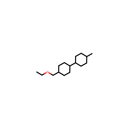 CCOCC1CCC(C2CCC(C)CC2)CC1